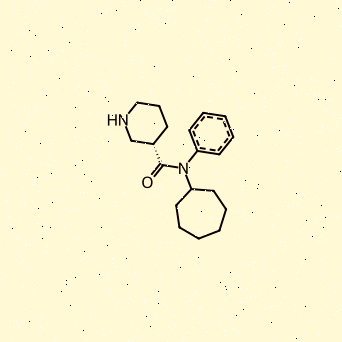 O=C([C@H]1CCCNC1)N(c1ccccc1)C1CCCCCC1